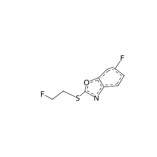 FCCSc1nc2ccc(F)cc2o1